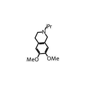 COc1cc2c(cc1OC)CN(C(C)C)CC2